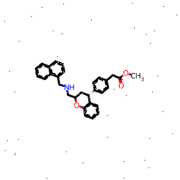 COC(=O)Cc1ccc([C@H]2CC(CNCc3cccc4ccccc34)Oc3ccccc32)cc1